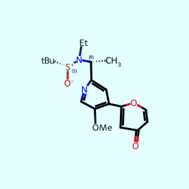 CCN([C@H](C)c1cc(-c2cc(=O)cco2)c(OC)cn1)[S@+]([O-])C(C)(C)C